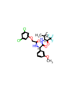 COc1cccc([C@@H](NC(=O)COc2cc(Cl)cc(Cl)c2)C(=O)N[C@H](C(=O)C(F)(F)F)C(C)C)c1